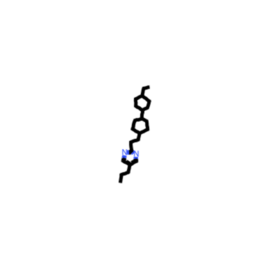 CCCc1cnc(CCC2CCC(C3CCC(CC)CC3)CC2)nc1